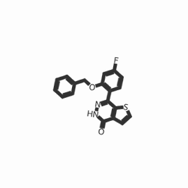 O=c1[nH]nc(-c2ccc(F)cc2OCc2ccccc2)c2sccc12